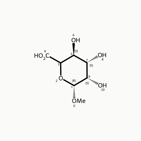 CO[C@@H]1OC(C(=O)O)[C@@H](O)[C@H](O)[C@@H]1O